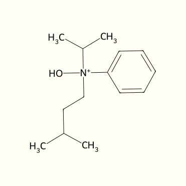 CC(C)CC[N+](O)(c1ccccc1)C(C)C